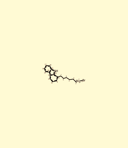 [Br][Mg][CH2]CCCCCc1cccc2c1[nH]c1ccccc12